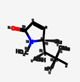 CCC[C@](C)(OC)[C@H](NC(C)=O)[C@]1(C(C)(C)C)C=CC(=O)N1C(=O)O